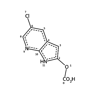 O=C(O)Oc1cc2cc(Cl)cnc2[nH]1